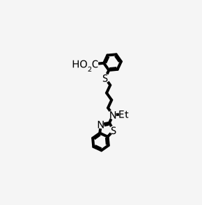 CCN(CCCCSc1ccccc1C(=O)O)c1nc2ccccc2s1